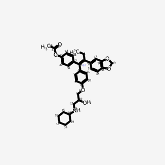 CC/C(=C(/c1ccc(OCC(O)CNC2CCCCC2)cc1)c1ccc(OC(C)=O)cc1)c1ccc2c(c1)OCO2